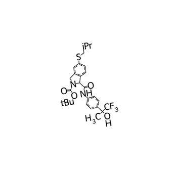 CC(C)CSc1ccc2c(c1)CN(C(=O)OC(C)(C)C)C2C(=O)Nc1ccc(C(C)(O)C(F)(F)F)cc1